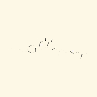 CCCCOc1ccc(/C=C(\C)C(=O)c2c(O)cc(C(C)CC/C=C/NC(=O)O)oc2=O)c(C)c1